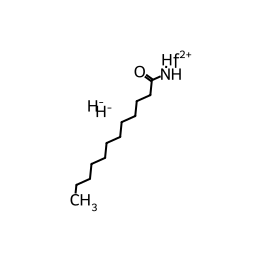 CCCCCCCCCCCC(=O)[NH][Hf+2].[H-].[H-]